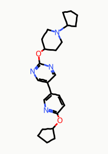 c1cc(OC2CCCC2)ncc1-c1cnc(OC2CCN(C3CCCC3)CC2)nc1